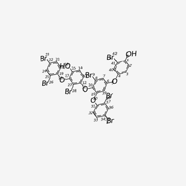 Oc1ccc(Oc2cc(Br)c(Oc3ccc(O)c(Oc4ccc(Br)cc4Br)c3Br)c(Oc3ccc(Br)cc3Br)c2)cc1Br